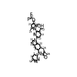 Cc1ccc(Nc2cc3ncn(-c4ccc(C(C)O)c(-n5nc(OC(F)F)cc5C)n4)c3cc2CC2COC2)nn1